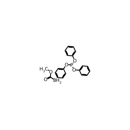 BC(=O)OC.c1ccc(OP(Oc2ccccc2)Oc2ccccc2)cc1